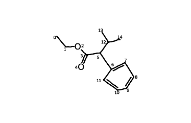 CCOC(=O)C(c1ccccc1)C(C)C